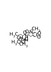 CCN1C(=O)[C@@H](NC(=O)[C@H](CC(C)C)[C@@H]2OC(C)(C)OC2=O)Cc2cc3c(cc21)OCO3